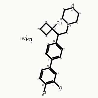 Cl.Cl.OC1(C(CN2CCNCC2)c2ccc(-c3ccc(Cl)c(Cl)c3)cc2)CCC1